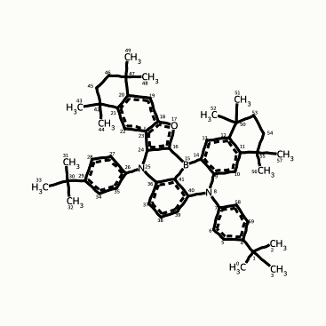 CC(C)(C)c1ccc(N2c3cc4c(cc3B3c5oc6cc7c(cc6c5N(c5ccc(C(C)(C)C)cc5)c5cccc2c53)C(C)(C)CCC7(C)C)C(C)(C)CCC4(C)C)cc1